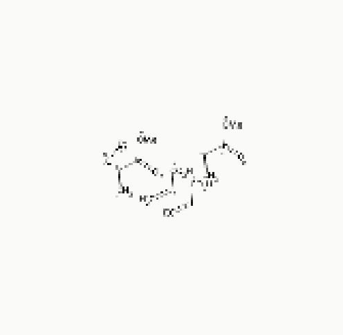 C=CC(=O)O.C=CC(=O)O.C=CC(=O)OC.C=CC(=O)OC.CCC